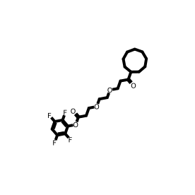 O=C(CCOCCOCCC(=O)C1CCCCCCCC1)Oc1c(F)c(F)cc(F)c1F